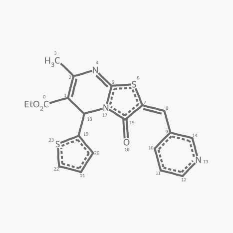 CCOC(=O)C1=C(C)N=c2s/c(=C/c3cccnc3)c(=O)n2C1c1cccs1